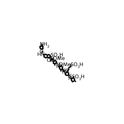 COc1cc(N=Nc2ccc(N=Nc3ccc(C)cc3S(=O)(=O)O)cc2OCCCCS(=O)(=O)O)c(C)cc1N=Nc1cc(OC)c(N=Nc2c(S(=O)(=O)O)cc3cc(NCOc4ccc(N)cc4)ccc3c2O)cc1C